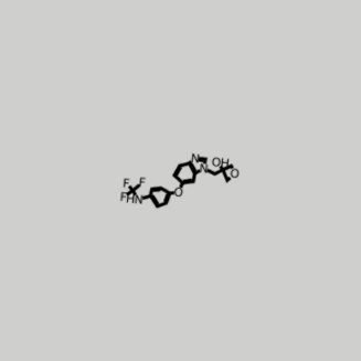 OC1(Cn2cnc3ccc(Oc4ccc(NC(F)(F)F)cc4)cc32)COC1